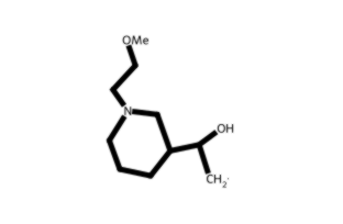 [CH2]C(O)C1CCCN(CCOC)C1